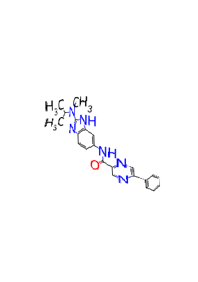 CC(C)N(C)c1nc2ccc(NC(=O)c3cnc(-c4ccccc4)cn3)cc2[nH]1